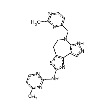 Cc1ccnc(Nc2nc3c(s2)CCN(Cc2ccnc(C)n2)c2[nH]ncc2-3)n1